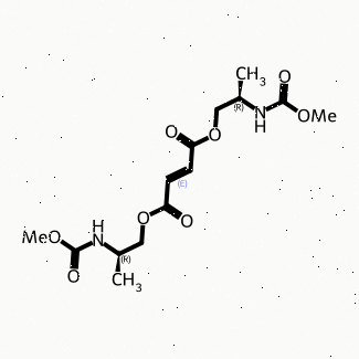 COC(=O)N[C@H](C)COC(=O)/C=C/C(=O)OC[C@@H](C)NC(=O)OC